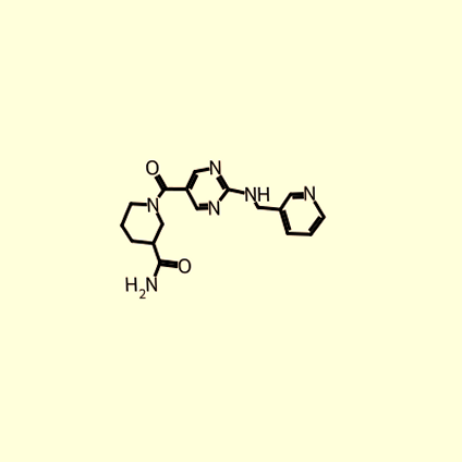 NC(=O)C1CCCN(C(=O)c2cnc(NCc3cccnc3)nc2)C1